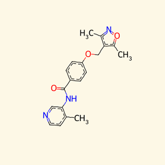 Cc1ccncc1NC(=O)c1ccc(OCc2c(C)noc2C)cc1